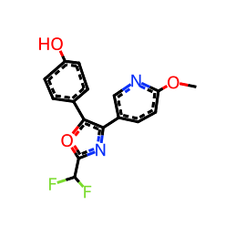 COc1ccc(-c2nc(C(F)F)oc2-c2ccc(O)cc2)cn1